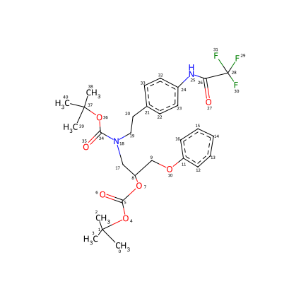 CC(C)(C)OC(=O)OC(COc1ccccc1)CN(CCc1ccc(NC(=O)C(F)(F)F)cc1)C(=O)OC(C)(C)C